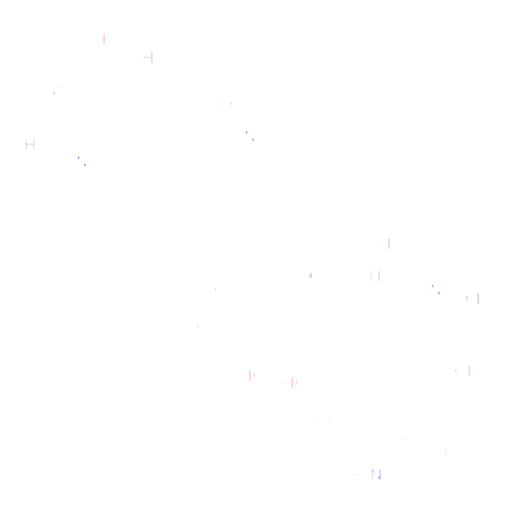 CN(Cc1cc(N(C)C)c2c(c1O)C(=O)C1=C(O)[C@]3(O)C(=O)C(C(N)=O)=C(O)[C@@H](N(C)C)[C@@H]3C[C@@H]1C2)CC(C)(C)O